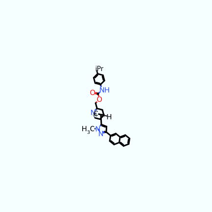 CC(C)c1ccc(NC(=O)OCC2C[C@@H]3CC[N@@]2CC3c2cc(-c3ccc4ccccc4c3)nn2C)cc1